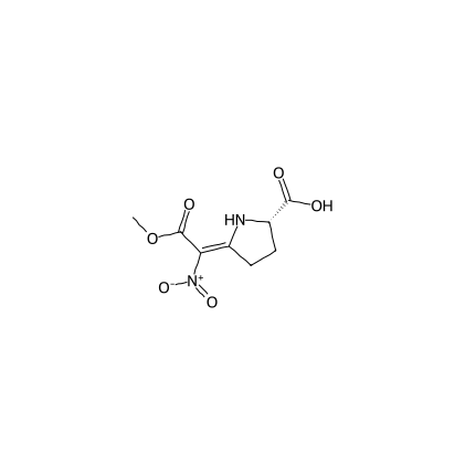 COC(=O)C(=C1CC[C@@H](C(=O)O)N1)[N+](=O)[O-]